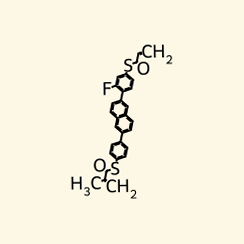 C=CC(=O)Sc1ccc(-c2ccc3cc(-c4ccc(SC(=O)C(=C)C)cc4)ccc3c2)c(F)c1